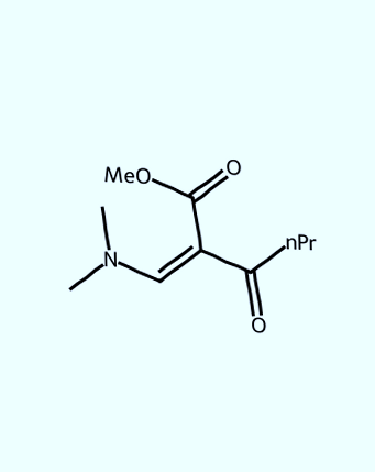 CCCC(=O)C(=CN(C)C)C(=O)OC